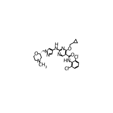 CN1CCO[C@H](Cn2cc(Nc3ncc(C(=O)Nc4c(Cl)cccc4Cl)c(OCC4CC4)n3)cn2)C1